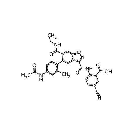 CCNC(=O)c1cc2onc(C(=O)Nc3ccc(C#N)cc3C(=O)O)c2cc1-c1ccc(NC(C)=O)cc1C